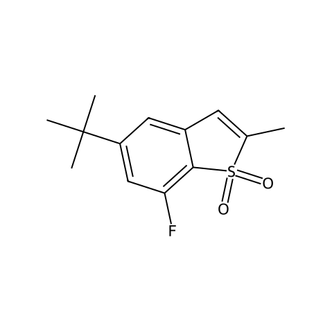 CC1=Cc2cc(C(C)(C)C)cc(F)c2S1(=O)=O